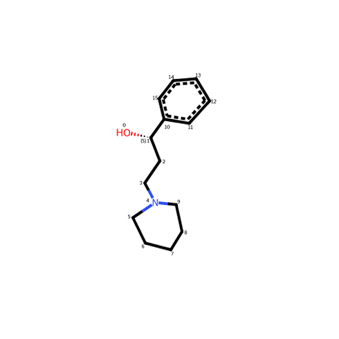 O[C@@H](CCN1CCCCC1)c1ccccc1